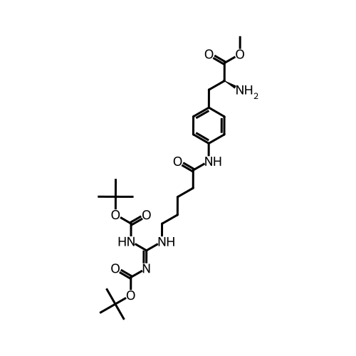 COC(=O)[C@@H](N)Cc1ccc(NC(=O)CCCCN/C(=N/C(=O)OC(C)(C)C)NC(=O)OC(C)(C)C)cc1